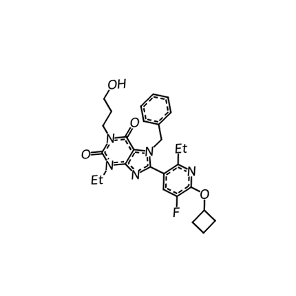 CCc1nc(OC2CCC2)c(F)cc1-c1nc2c(c(=O)n(CCCO)c(=O)n2CC)n1Cc1ccccc1